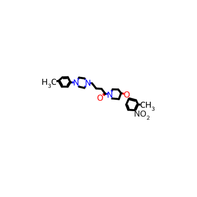 Cc1ccc(N2CCN(CCCC(=O)N3CCC(Oc4ccc([N+](=O)[O-])c(C)c4)CC3)CC2)cc1